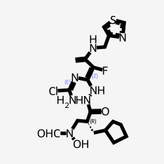 C=C(NCc1cscn1)/C(F)=C(\N=C(/N)Cl)NNC(=O)[C@H](CC1CCCC1)CN(O)C=O